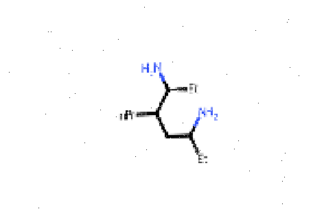 CCCC(CC(N)CC)[C@@H](N)CC